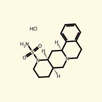 Cl.NS(=O)(=O)N1CCC[C@@H]2CN3CCc4ccccc4[C@@H]3C[C@@H]21